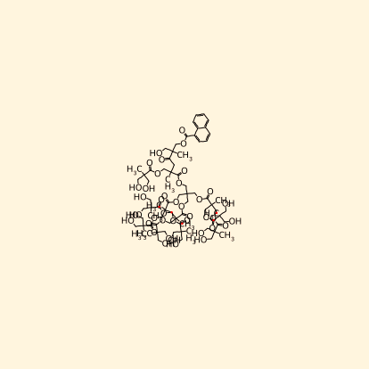 CC(CO)(COC(=O)c1cccc2ccccc12)C(=O)CC(C)(COC(=O)C(C)(CO)CO)C(=O)OCC(COC(=O)C(C)(COC(=O)C(C)(CO)CO)COC(=O)C(C)(CO)CO)(COC(=O)C(C)(COC(=O)C(C)(CO)CO)COC(=O)C(C)(CO)CO)COC(=O)C(C)(COC(=O)C(C)(CO)CO)COC(=O)C(C)(CO)CO